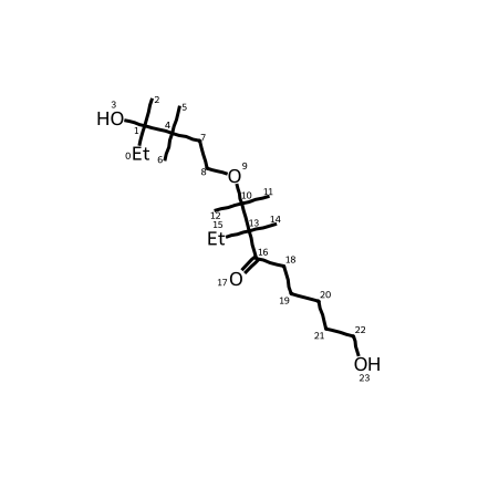 CCC(C)(O)C(C)(C)CCOC(C)(C)C(C)(CC)C(=O)CCCCCO